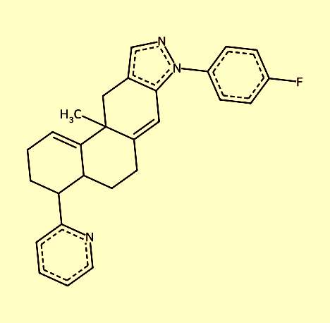 CC12Cc3cnn(-c4ccc(F)cc4)c3C=C1CCC1C2=CCCC1c1ccccn1